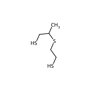 CC(CS)SCCS